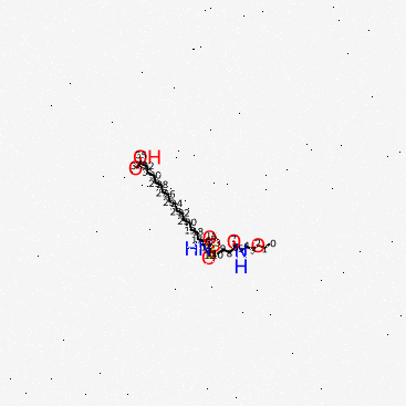 CCOCCNC(=O)CCCS(=O)(=O)NC(=O)CCCCCCCCCCCCCCCCC(=O)O